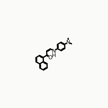 CN(C)c1ccc(N/C=C\C(=O)c2cccc3ccccc23)cc1